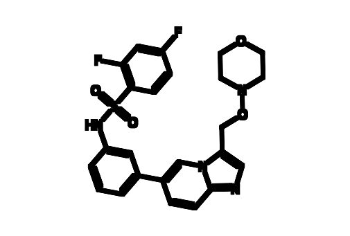 O=S(=O)(Nc1cccc(-c2ccc3ncc(CON4CCOCC4)n3c2)c1)c1ccc(F)cc1F